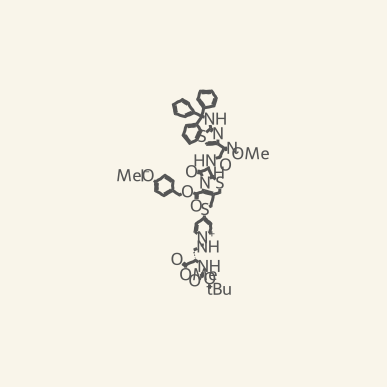 CO/N=C(\C(=O)N[C@@H]1C(=O)N2C(C(=O)OCc3ccc(OC)cc3)=C(CSc3cc[n+](NC[C@H](NC(=O)OC(C)(C)C)C(=O)OC)cc3)CS[C@H]12)c1csc(NC(c2ccccc2)(c2ccccc2)c2ccccc2)n1.[I-]